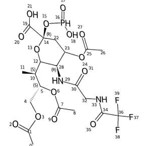 CC(=O)OC[C@@H](OC(C)=O)[C@@H](C)C1O[C@](O[PH](=O)O)(C(=O)O)CC(OC(C)=O)[C@H]1NC(=O)CNC(=O)C(F)(F)F